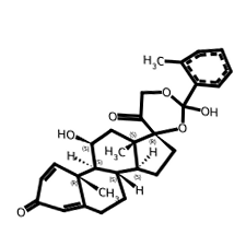 Cc1ccccc1C1(O)OCC(=O)[C@]2(CC[C@H]3[C@@H]4CCC5=CC(=O)C=C[C@]5(C)[C@H]4[C@@H](O)C[C@@]32C)O1